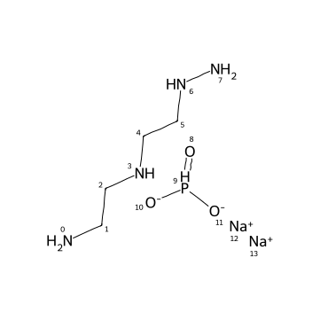 NCCNCCNN.O=[PH]([O-])[O-].[Na+].[Na+]